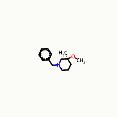 CO[C@@]1(C)CCCN(Cc2ccccc2)C1